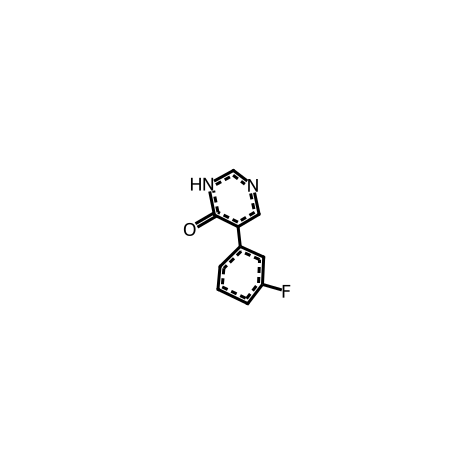 O=c1[nH]cncc1-c1cccc(F)c1